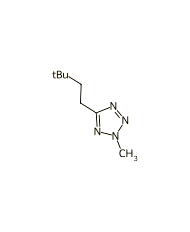 Cn1nnc(CCC(C)(C)C)n1